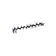 CC/C=C\CC=CCC=CCC=CCC=CCCCCBr